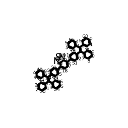 c1ccc(C(=C(c2ccccc2)c2ccc(-c3ccc(-c4ccc(C(=C(c5ccccc5)c5ccccc5)c5ccccc5)cc4)c4nsnc34)cc2)c2ccccc2)cc1